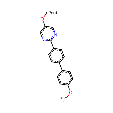 CCCCCOc1cnc(-c2ccc(-c3ccc(OC(F)(F)F)cc3)cc2)nc1